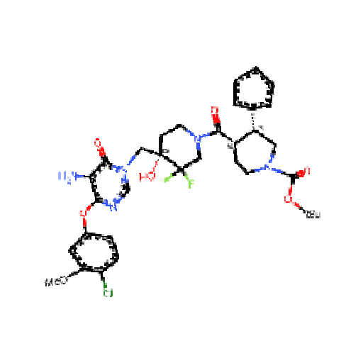 COc1cc(Oc2ncn(C[C@@]3(O)CCN(C(=O)[C@@H]4CCN(C(=O)OC(C)(C)C)C[C@H]4c4ccccc4)CC3(F)F)c(=O)c2N)ccc1Cl